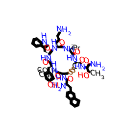 CC(=O)O.CC(O)C(NC(=O)[C@H]1CSSC[C@@H](NC(=O)C(N)Cc2ccc3ccccc3c2)C(=O)N[C@@H](Cc2ccc(O)cc2)C(=O)N[C@H](Cc2c[nH]c3ccccc23)C(=O)N[C@@H](CCCCN)C(=O)N[C@@H](C(C)C)C(=O)N1)C(N)=O